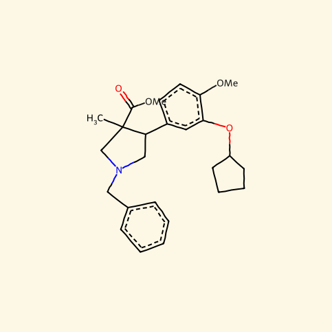 COC(=O)C1(C)CN(Cc2ccccc2)CC1c1ccc(OC)c(OC2CCCC2)c1